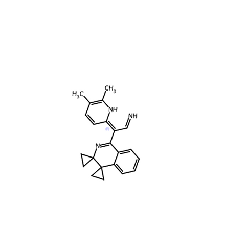 CC1=C(C)N/C(=C(\C=N)C2=NC3(CC3)C3(CC3)c3ccccc32)C=C1